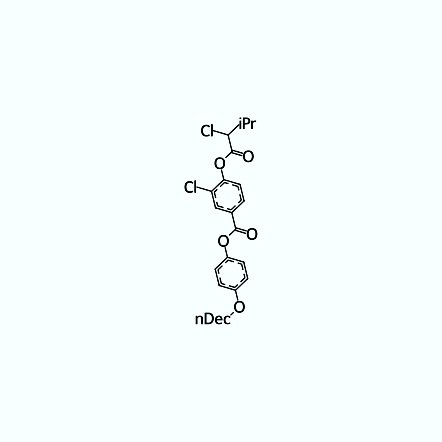 CCCCCCCCCCOc1ccc(OC(=O)c2ccc(OC(=O)C(Cl)C(C)C)c(Cl)c2)cc1